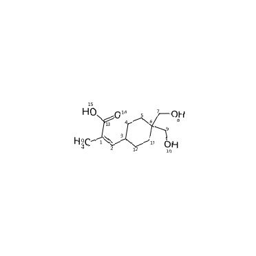 CC(=CC1CCC(CO)(CO)CC1)C(=O)O